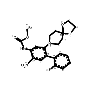 CC(C)(C)OC(=O)Nc1cc(N2CCC3(CC2)OCCO3)c(-c2ccccc2F)cc1[N+](=O)[O-]